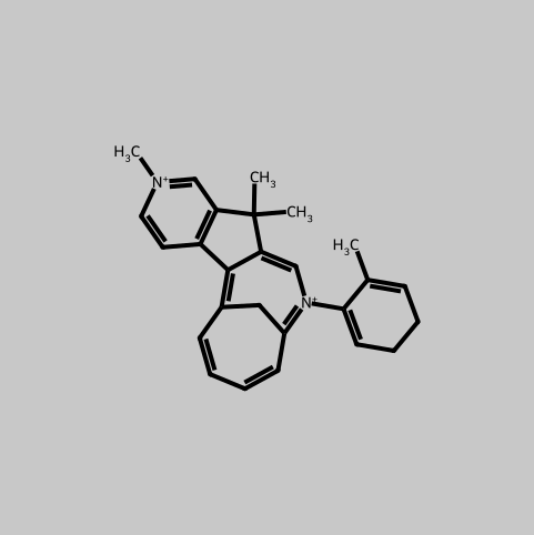 CC1=CCCC=C1[N+]1=C2C=CC=CC(=C3C(=C1)C(C)(C)c1c[n+](C)ccc13)C2